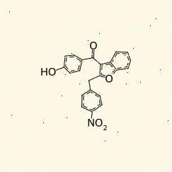 O=C(c1ccc(O)cc1)c1c(Cc2ccc([N+](=O)[O-])cc2)oc2ccccc12